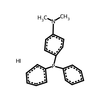 CN(C)c1ccc(P(c2ccccc2)c2ccccc2)cc1.I